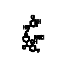 Cl.Cl.O=C(c1ccc(F)cc1O)C1CCN(CCNc2cn[nH]c(=O)c2)CC1